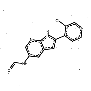 O=CNc1cnc2[nH]c(-c3ccncc3Cl)cc2c1